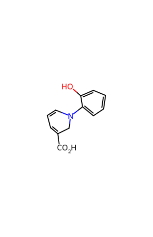 O=C(O)C1=CC=CN(c2ccccc2O)C1